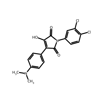 CN(C)c1ccc(C2=C(O)C(=O)N(c3ccc(Cl)c(Cl)c3)C2=O)cc1